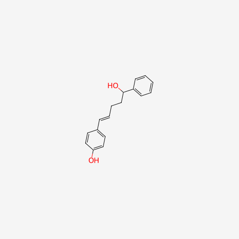 Oc1ccc(C=CCCC(O)c2ccccc2)cc1